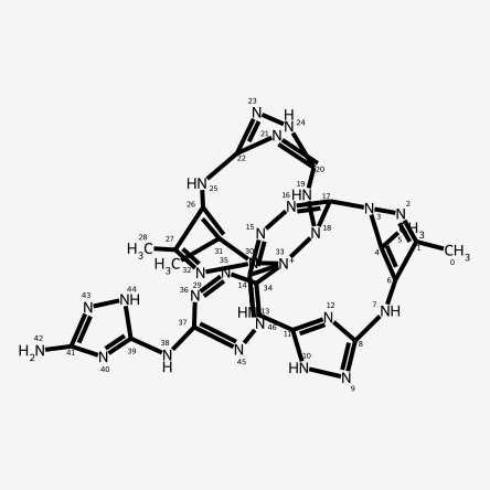 Cc1nn2c(C)c1Nc1n[nH]c(n1)NC1=NN=C2N2Nc3nc(n[nH]3)Nc3c(C)nn(c3C)[N+]12c1nnc(Nc2nc(N)n[nH]2)nn1